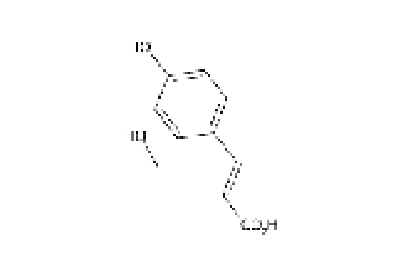 CO.O=C(O)C=Cc1ccc(O)cc1